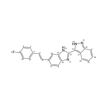 Fc1ccc(C=Cc2ccc3nc(-c4[nH]nc5ccccc45)[nH]c3c2)cc1